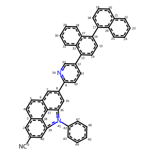 N#Cc1cc2ccc3cc(-c4ccc(-c5ccc(-c6cccc7ccccc67)c6ccccc56)cn4)cc4c3c2c(c1)n4-c1ccccc1